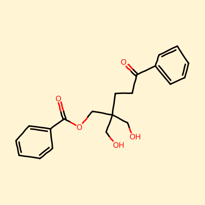 O=C(CCC(CO)(CO)COC(=O)c1ccccc1)c1ccccc1